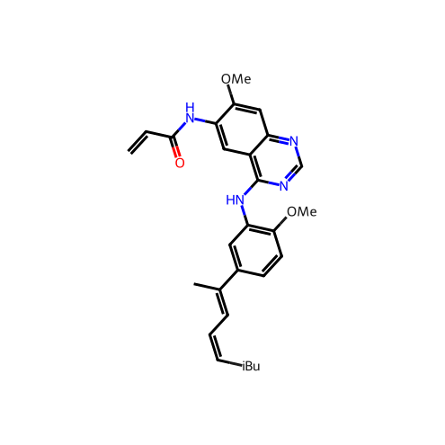 C=CC(=O)Nc1cc2c(Nc3cc(/C(C)=C/C=C\C(C)CC)ccc3OC)ncnc2cc1OC